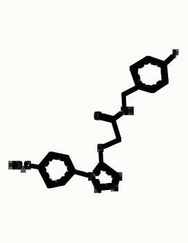 O=C(CSc1nnnn1-c1ccc(C(=O)O)cc1)NCc1ccc(F)cc1